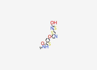 Cc1sc2cc(Oc3ccnc4cc(-c5nc(CO)cs5)sc34)ccc2c1C(=O)NC1CC1